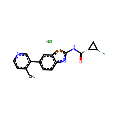 Cc1ccncc1-c1ccc2nc(NC(=O)[C@@H]3C[C@@H]3F)sc2c1.Cl